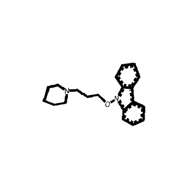 c1ccc2c(c1)c1ccccc1n2OCCCN1CCCCC1